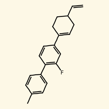 C=CC1CC=C(c2ccc(-c3ccc(C)cc3)c(F)c2)CC1